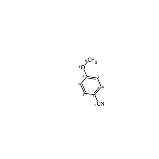 N#Cc1ccc(OC(F)(F)F)cc1